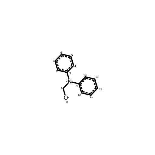 [O]CN(c1ccccc1)c1ccccc1